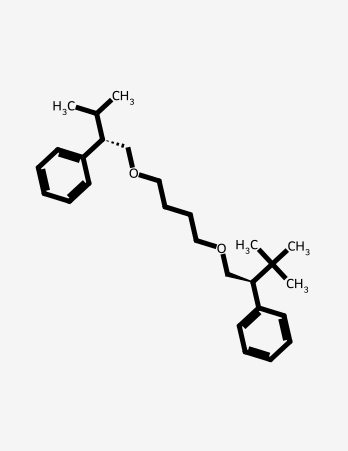 CC(C)[C@H](COCCCCOC[C@H](c1ccccc1)C(C)(C)C)c1ccccc1